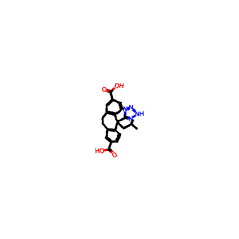 CC(C)CC1(c2nn[nH]n2)c2ccc(C(=O)O)cc2CCc2cc(C(=O)O)ccc21